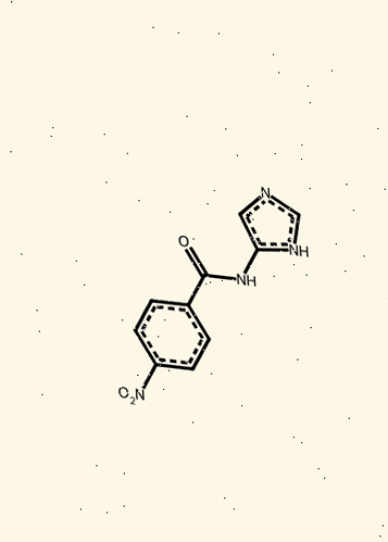 O=C(Nc1cnc[nH]1)c1ccc([N+](=O)[O-])cc1